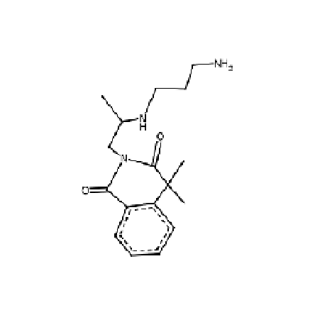 CC(CN1C(=O)c2ccccc2C(C)(C)C1=O)NCCCN